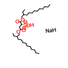 CCCCCCCCCCC(CC)COC(=O)CC(C(=O)OCC(CC)CCCCCCCCCC)S(=O)(=O)O.[NaH]